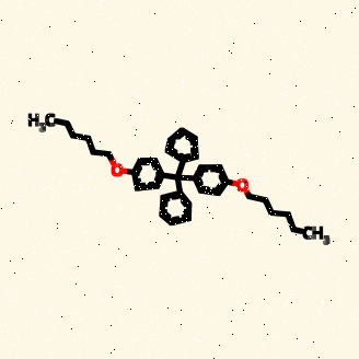 CCCCCCOc1ccc(C(c2ccccc2)(c2ccccc2)c2ccc(OCCCCCC)cc2)cc1